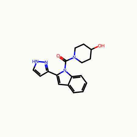 O=C(N1CCC(O)CC1)n1c(-c2cc[nH]n2)cc2ccccc21